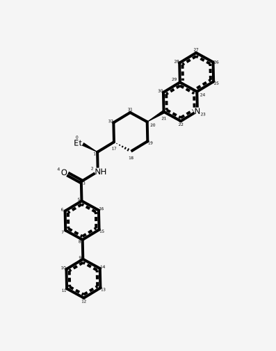 CC[C@H](NC(=O)c1ccc(-c2ccccc2)cc1)[C@H]1CC[C@H](c2cnc3ccccc3c2)CC1